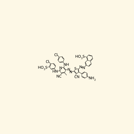 Cc1c(C#N)c(Nc2ccc(Cl)c(S(=O)(=O)O)c2)nc(Nc2ccc(Cl)cc2)c1N=Nc1sc(N=Nc2ccc3cccc(S(=O)(=O)O)c3c2)c(-c2ccc(N)cc2)c1C#N